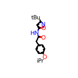 CC(C)Oc1ccc(CC(=O)Nc2cc(C(C)(C)C)no2)cc1